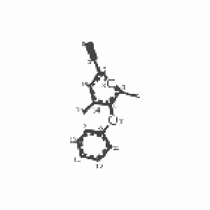 C#Cc1cc(C)c(Oc2ccccc2)c(C)c1